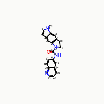 Cn1ccc2cc3c(cc21)CCN3C(=O)Nc1ccc2ncccc2c1